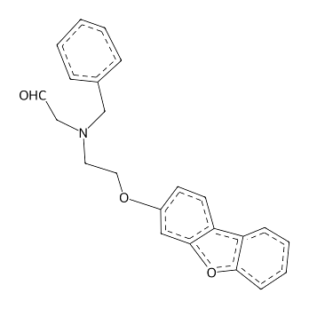 O=CCN(CCOc1ccc2c(c1)oc1ccccc12)Cc1ccccc1